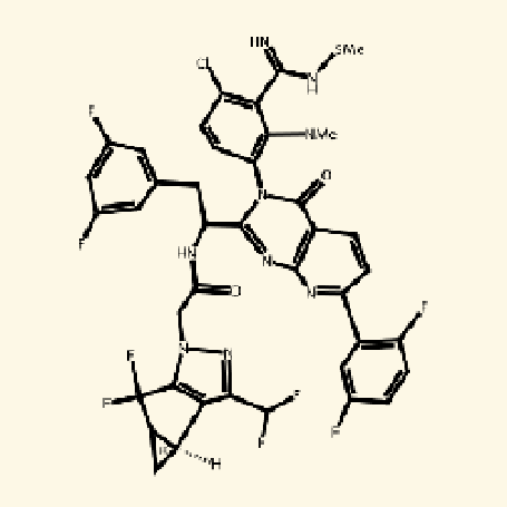 CNc1c(-n2c(C(Cc3cc(F)cc(F)c3)NC(=O)Cn3nc(C(F)F)c4c3C(F)(F)C3C[C@H]43)nc3nc(-c4cc(F)ccc4F)ccc3c2=O)ccc(Cl)c1C(=N)NSC